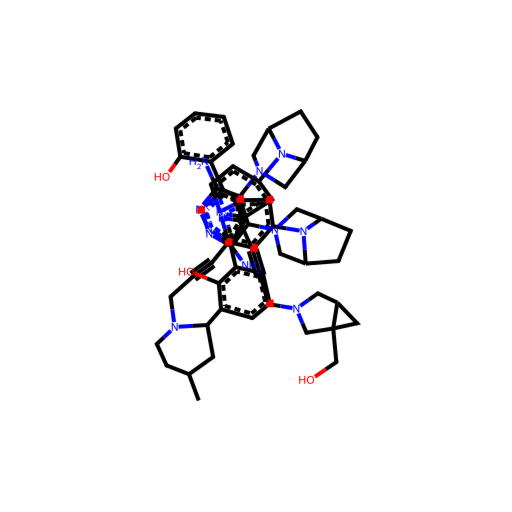 CC1CCN(CC#Cc2cc(N3C4CCC3CN(c3cc(-c5ccccc5O)nnc3N)C4)ccn2)C(c2cccc(-c3cc(N4CC5CCC(C4)N5c4ccnc(C#CCN5CC6CC6(CO)C5)c4)c(N)nn3)c2O)C1